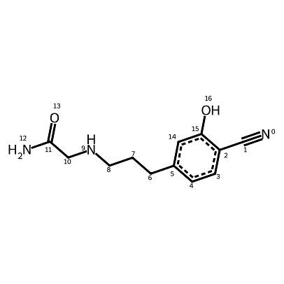 N#Cc1ccc(CCCNCC(N)=O)cc1O